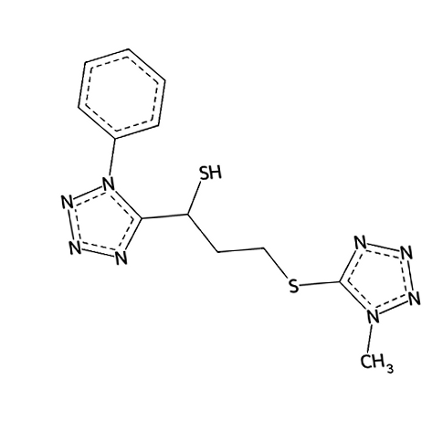 Cn1nnnc1SCCC(S)c1nnnn1-c1ccccc1